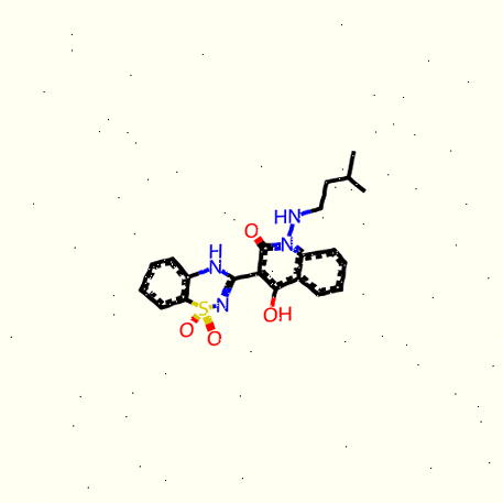 CC(C)CCNn1c(=O)c(C2=NS(=O)(=O)c3ccccc3N2)c(O)c2ccccc21